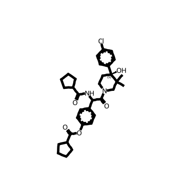 CC1(C)CN(C(=O)C(NC(=O)C2CCCC2)c2ccc(OC(=O)C3CCCC3)cc2)CC[C@]1(O)c1ccc(Cl)cc1